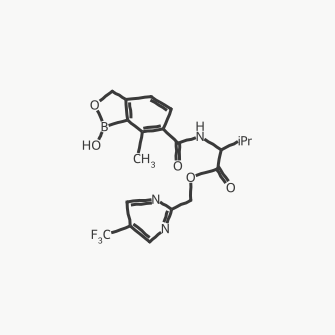 Cc1c(C(=O)NC(C(=O)OCc2ncc(C(F)(F)F)cn2)C(C)C)ccc2c1B(O)OC2